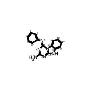 Nc1nc(=Nc2ccccc2)n2c(n1)[nH]c1ccccc12